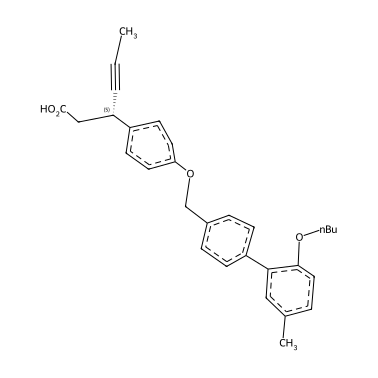 CC#C[C@@H](CC(=O)O)c1ccc(OCc2ccc(-c3cc(C)ccc3OCCCC)cc2)cc1